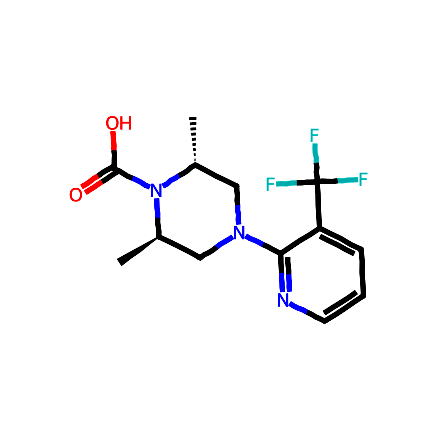 C[C@@H]1CN(c2ncccc2C(F)(F)F)C[C@@H](C)N1C(=O)O